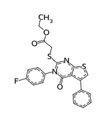 CCOC(=O)CSc1nc2scc(-c3ccccc3)c2c(=O)n1-c1ccc(F)cc1